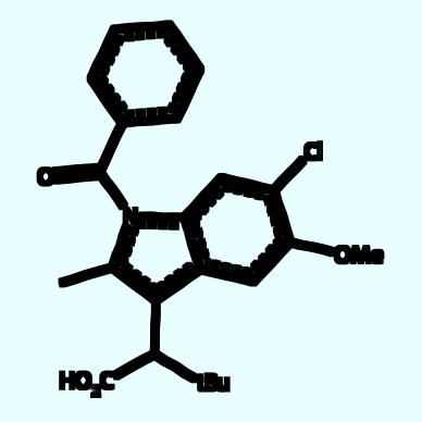 COc1cc2c(C(C(=O)O)C(C)(C)C)c(C)n(C(=O)c3ccccc3)c2cc1Cl